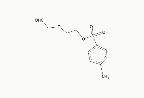 Cc1ccc(S(=O)(=O)OCCOCC=O)cc1